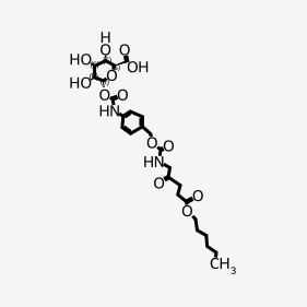 CCCCCCOC(=O)CCC(=O)CNC(=O)OCc1ccc(NC(=O)O[C@H]2O[C@H](C(=O)O)[C@@H](O)[C@H](O)[C@H]2O)cc1